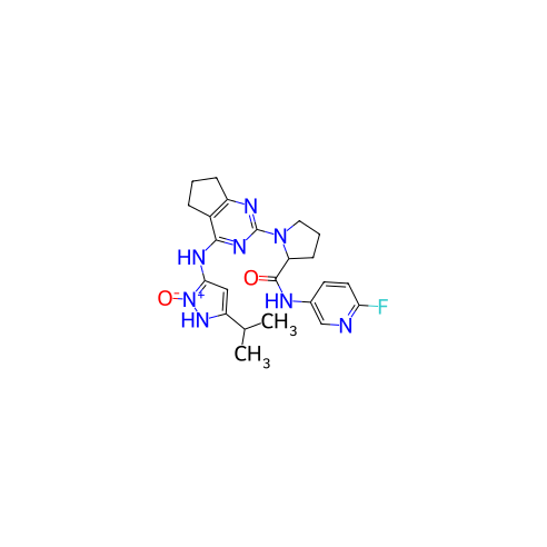 CC(C)c1cc(Nc2nc(N3CCCC3C(=O)Nc3ccc(F)nc3)nc3c2CCC3)[n+]([O-])[nH]1